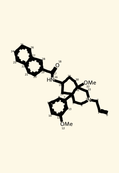 C=CCN1CCC2(c3cccc(OC)c3)CC(NC(=O)c3ccc4ccccc4c3)CCC2(OC)C1